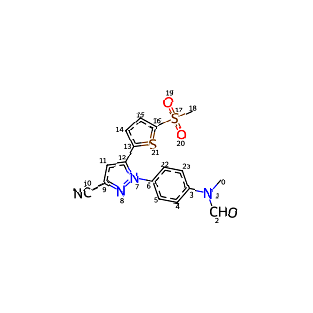 CN(C=O)c1ccc(-n2nc(C#N)cc2-c2ccc(S(C)(=O)=O)s2)cc1